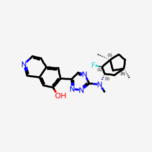 CN(c1ncc(-c2cc3ccncc3cc2O)nn1)[C@H]1C[C@]2(C)CC[C@@](C)(C2)[C@@H]1F